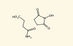 NC(=O)CCC(=O)O.O=C1CCC(=O)N1O